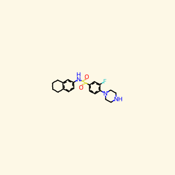 O=S(=O)(Nc1ccc2c(c1)CCCC2)c1ccc(N2CCNCC2)c(F)c1